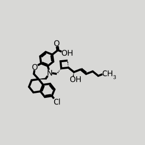 CCC/C=C/[C@H](O)[C@H]1CC[C@H]1CN1C[C@@]2(CCCc3cc(Cl)ccc32)COc2ccc(C(=O)O)cc21